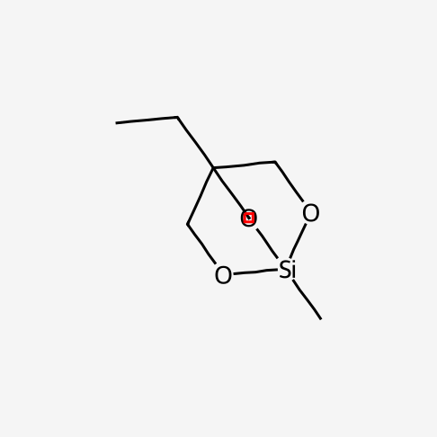 CCC12CO[Si](C)(OC1)OC2